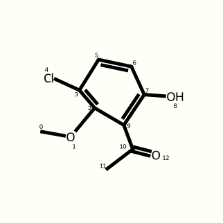 COc1c(Cl)ccc(O)c1C(C)=O